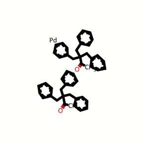 CC(=O)C(Cc1ccccc1)(Cc1ccccc1)Cc1ccccc1.CC(=O)C(Cc1ccccc1)(Cc1ccccc1)Cc1ccccc1.[Pd]